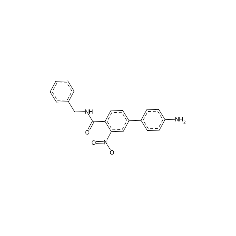 Nc1ccc(-c2ccc(C(=O)NCc3ccccc3)c([N+](=O)[O-])c2)cc1